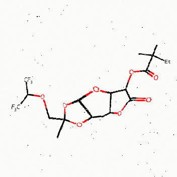 CCC(C)(C)C(=O)OC1C(=O)OC2C3OC(C)(COC(C(F)(F)F)C(F)(F)F)OC3OC12